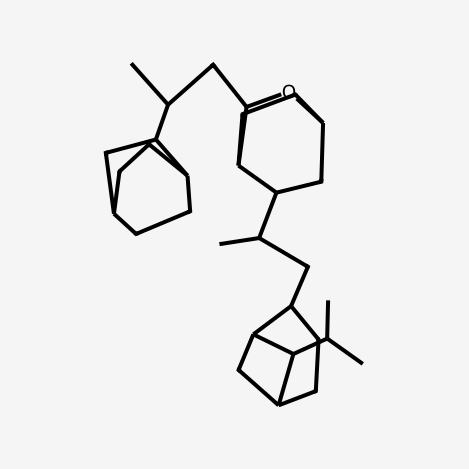 CC(C)C1C2CCC(CC(C)C3CC4CCC3C(CC(C)C3CC5CCC3CC5)O4)C1C2